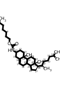 CCCCCCCOC(=O)NC1CC[C@@]2(C)C(=CCC3C2CC[C@@]2(C)C3CC[C@@H]2[C@H](C)CCCC(C)C)C1